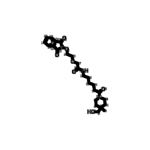 CC1(CO)CCN(C(=O)CCCCCNC(=O)COCCON2C(=O)C3C4C=CC(O4)C3C2=O)CC1